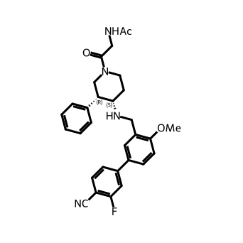 COc1ccc(-c2ccc(C#N)c(F)c2)cc1CN[C@H]1CCN(C(=O)CNC(C)=O)C[C@H]1c1ccccc1